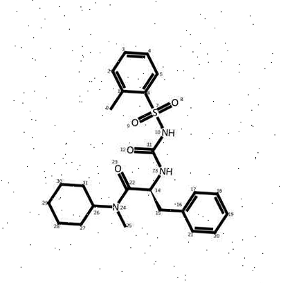 Cc1ccccc1S(=O)(=O)NC(=O)N[C@@H](Cc1ccccc1)C(=O)N(C)C1CCCCC1